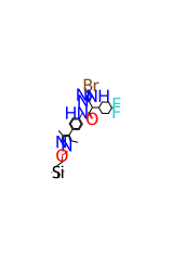 Cc1nn(COCC[Si](C)(C)C)c(C)c1-c1ccc(NC(=O)C(c2nnc(Br)[nH]2)C2CCC(F)(F)CC2)cc1